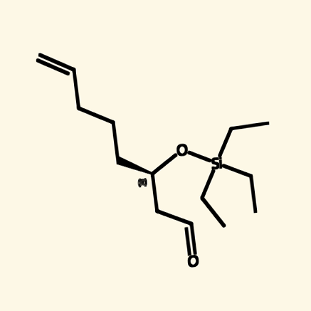 C=CCCC[C@H](CC=O)O[Si](CC)(CC)CC